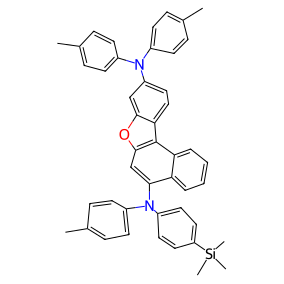 Cc1ccc(N(c2ccc(C)cc2)c2ccc3c(c2)oc2cc(N(c4ccc(C)cc4)c4ccc([Si](C)(C)C)cc4)c4ccccc4c23)cc1